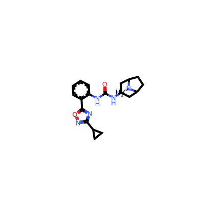 CN1C2CCC1CC(NC(=O)Nc1ccccc1-c1nc(C3CC3)no1)C2